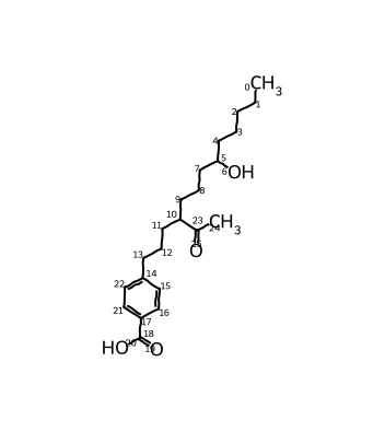 CCCCCC(O)CCCC(CCCc1ccc(C(=O)O)cc1)C(C)=O